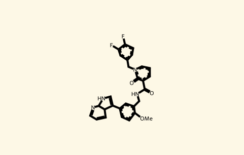 COc1ccc(C2=CNC3N=CC=CC23)cc1CNC(=O)c1cccn(Cc2ccc(F)c(F)c2)c1=O